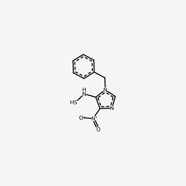 O=[N+]([O-])c1ncn(Cc2ccccc2)c1NS